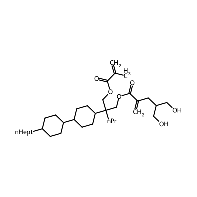 C=C(C)C(=O)OCC(CCC)(COC(=O)C(=C)CC(CO)CO)C1CCC(C2CCC(CCCCCCC)CC2)CC1